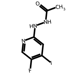 CC(=O)NNc1cc(I)c(F)cn1